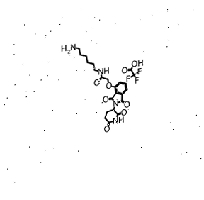 NCCCCCCNC(=O)COc1cccc2c1C(=O)N(C1CCC(=O)NC1=O)C2=O.O=C(O)C(F)(F)F